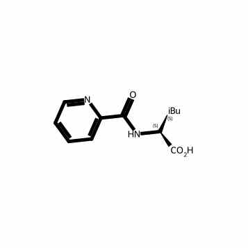 CC[C@H](C)[C@H](NC(=O)c1ccccn1)C(=O)O